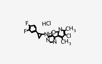 Cc1nc2oc3c(NC4CC4c4ccc(F)c(F)c4)ncnc3c2c(C)c1Cl.Cl